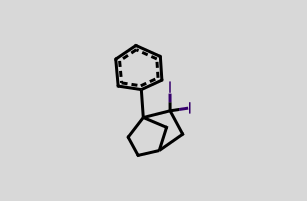 IC1(I)CC2CCC1(c1ccccc1)C2